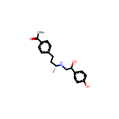 COC(=O)c1ccc(CC[C@@H](C)NCC(O)c2ccc(O)cc2)cc1